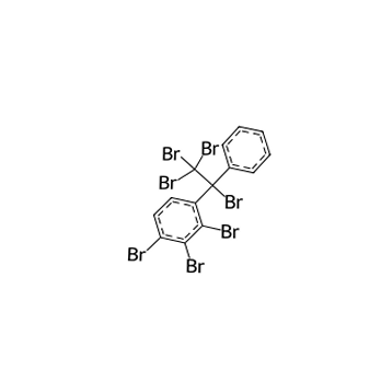 Brc1ccc(C(Br)(c2ccccc2)C(Br)(Br)Br)c(Br)c1Br